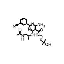 CC(=O)NCC(C)Oc1nc(-c2cccc(C#N)c2)nc(N)c1C(=O)NOCC(C)(C)O